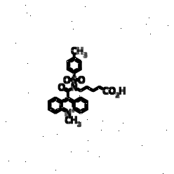 Cc1ccc(S(=O)(=O)N(CCCCC(=O)O)C(=O)c2c3ccccc3[n+](C)c3ccccc23)cc1